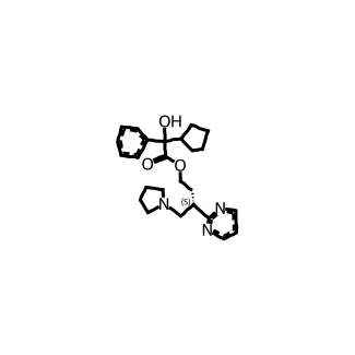 O=C(OCC[C@@H](CN1CCCC1)c1ncccn1)C(O)(c1ccccc1)C1CCCC1